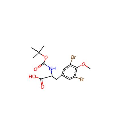 COc1c(Br)cc(CC(NC(=O)OC(C)(C)C)C(=O)O)cc1Br